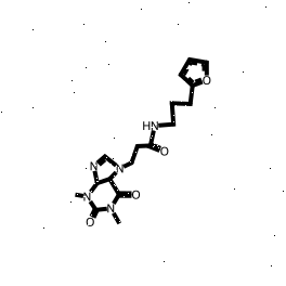 CN1C(=O)C2C(N=CN2CCC(=O)NCCCc2ccco2)N(C)C1=O